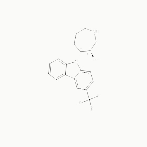 O[C@@H]1CNCCC[C@H]1n1c2ccccc2c2cc(C(F)(F)F)ccc21